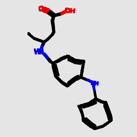 CC(CC(=O)O)Nc1ccc(Nc2ccccc2)cc1